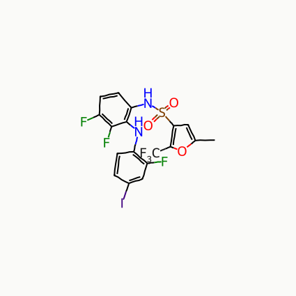 Cc1cc(S(=O)(=O)Nc2ccc(F)c(F)c2Nc2ccc(I)cc2F)c(C(F)(F)F)o1